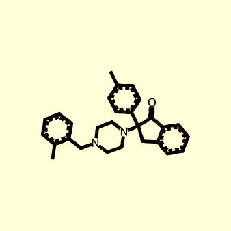 Cc1ccc(C2(N3CCN(Cc4ccccc4C)CC3)Cc3ccccc3C2=O)cc1